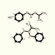 CC(C)OPOc1ccccc1.CC(C)P(Oc1ccccc1)Oc1ccccc1.Cl